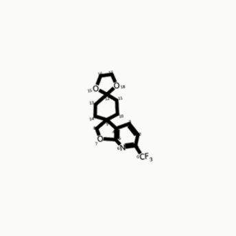 FC(F)(F)c1ccc2c(n1)OCC21CCC2(CC1)OCCO2